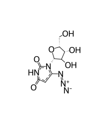 [N-]=[N+]=Nc1cc(=O)[nH]c(=O)n1[C@@H]1O[C@H](CO)[C@H](O)C1O